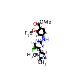 COC(=O)c1ccc(Nc2ncc(F)c(-c3cnc(C)n3C)n2)cc1OC(F)(F)F